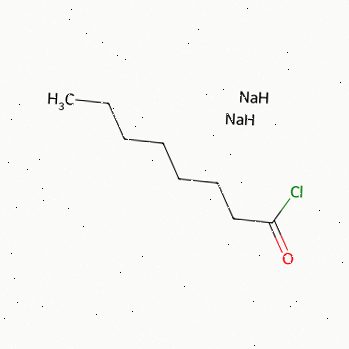 CCCCCCCC(=O)Cl.[NaH].[NaH]